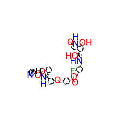 O=C(N[C@@H](c1ccccc1)c1cccc(OCc2ccc(C(=O)OCc3ccc(CNC[C@H](O)c4ccc(O)c5[nH]c(=O)ccc45)cc3F)cc2)c1)O[C@H]1CN2CCC1CC2